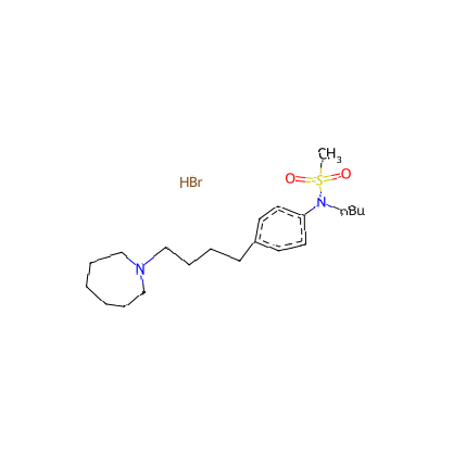 Br.CCCCN(c1ccc(CCCCN2CCCCCC2)cc1)S(C)(=O)=O